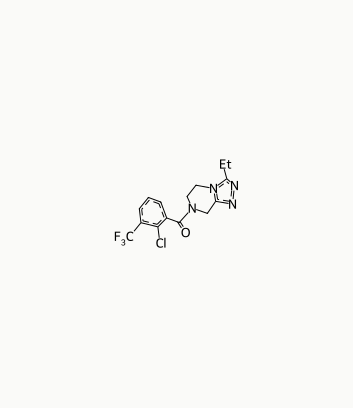 CCc1nnc2n1CCN(C(=O)c1cccc(C(F)(F)F)c1Cl)C2